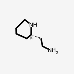 NCC[C@@H]1CCCCN1